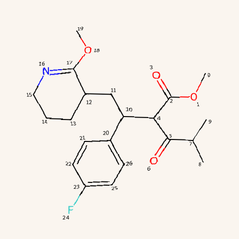 COC(=O)C(C(=O)C(C)C)C(CC1CCCN=C1OC)c1ccc(F)cc1